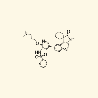 CN(C)CCCOc1ncc(-c2ccc3ncc4c(c3c2)C2(CCCCC2)C(=O)N4C)cc1NS(=O)(=O)c1ccccc1